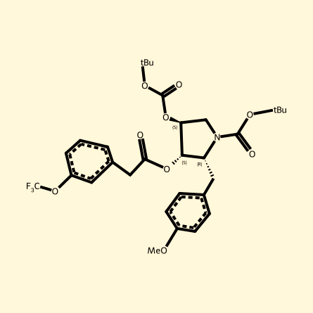 COc1ccc(C[C@@H]2[C@H](OC(=O)Cc3cccc(OC(F)(F)F)c3)[C@@H](OC(=O)OC(C)(C)C)CN2C(=O)OC(C)(C)C)cc1